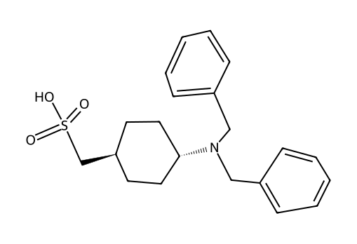 O=S(=O)(O)C[C@H]1CC[C@H](N(Cc2ccccc2)Cc2ccccc2)CC1